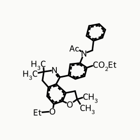 CCOC(=O)c1ccc(C2=NC(C)(C)Cc3cc(OCC)c4c(c32)CC(C)(C)O4)cc1N(Cc1ccccc1)C(C)=O